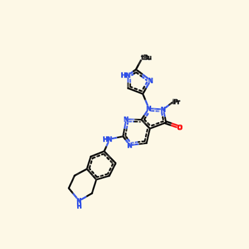 CC(C)n1c(=O)c2cnc(Nc3ccc4c(c3)CCNC4)nc2n1-c1c[nH]c(C(C)(C)C)n1